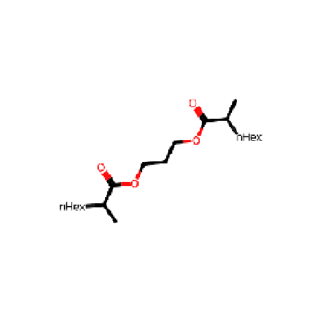 CCCCCCC(C)C(=O)OCCCOC(=O)C(C)CCCCCC